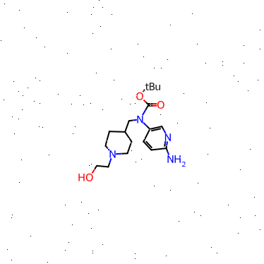 CC(C)(C)OC(=O)N(CC1CCN(CCO)CC1)c1ccc(N)nc1